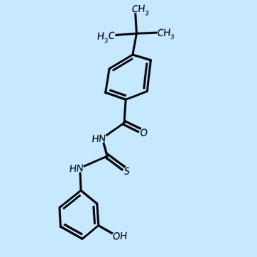 CC(C)(C)c1ccc(C(=O)NC(=S)Nc2cccc(O)c2)cc1